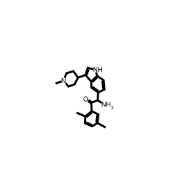 Cc1ccc(C)c(C(=O)C(N)c2ccc3[nH]cc(C4CCN(C)CC4)c3c2)c1